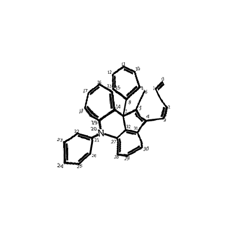 C=C/C=C\C1=C(C)C2(c3ccccc3)c3ccccc3N(c3ccccc3)c3cccc1c32